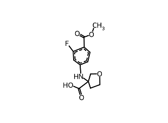 COC(=O)c1ccc(NC2(C(=O)O)CCOC2)cc1F